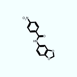 O=C(Nc1ccc2c(c1)OCO2)c1ccc([N+](=O)[O-])cc1